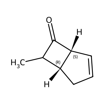 CC1C(=O)[C@@H]2C=CC[C@H]12